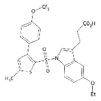 CCOc1ccc2c(c1)c(CCC(=O)O)cn2S(=O)(=O)c1sc(C)cc1-c1ccc(OC(F)(F)F)cc1